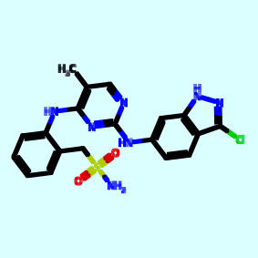 Cc1cnc(Nc2ccc3c(Cl)n[nH]c3c2)nc1Nc1ccccc1CS(N)(=O)=O